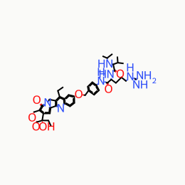 CCc1c2c(nc3ccc(OCc4ccc(NC(=O)C(CCCNC(=N)N)NC(=O)[C@@H](NC(C)C)C(C)C)cc4)cc13)-c1cc3c(c(=O)n1C2)COC(=O)[C@]3(O)CC